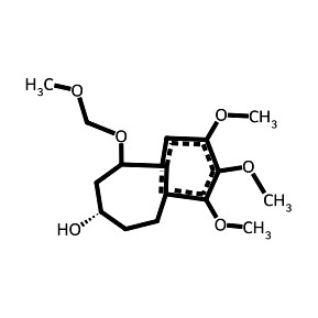 COCOC1C[C@@H](O)CCc2c1cc(OC)c(OC)c2OC